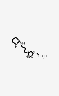 O=C(O)C[C@H]1C[C@H](CCCNC2=NCCCN2)NO1